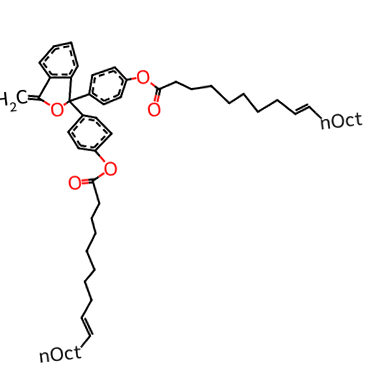 C=C1OC(c2ccc(OC(=O)CCCCCCC/C=C/CCCCCCCC)cc2)(c2ccc(OC(=O)CCCCCCC/C=C/CCCCCCCC)cc2)c2ccccc21